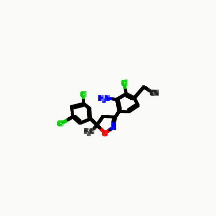 N#CCc1ccc(C2=NOC(c3cc(Cl)cc(Cl)c3)(C(F)(F)F)C2)c(N)c1Cl